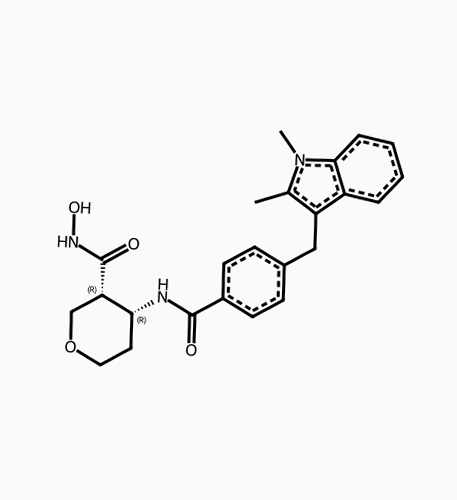 Cc1c(Cc2ccc(C(=O)N[C@@H]3CCOC[C@@H]3C(=O)NO)cc2)c2ccccc2n1C